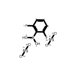 OB(O)c1c(F)cccc1F.[Cl][Mg][Cl].[Cl][Mg][Cl]